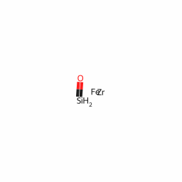 O=[SiH2].[Fe].[Zr]